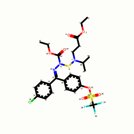 CCOC(=O)CCN(SN(N=C(c1ccc(Cl)cc1)c1ccc(OS(=O)(=O)C(F)(F)F)cc1)C(=O)OCC)C(C)C